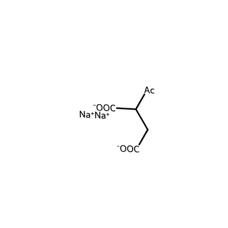 CC(=O)C(CC(=O)[O-])C(=O)[O-].[Na+].[Na+]